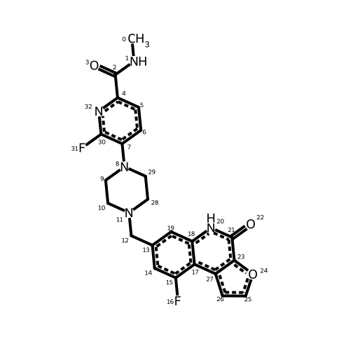 CNC(=O)c1ccc(N2CCN(Cc3cc(F)c4c(c3)[nH]c(=O)c3occc34)CC2)c(F)n1